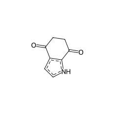 O=C1CCC(=O)c2[nH]ccc21